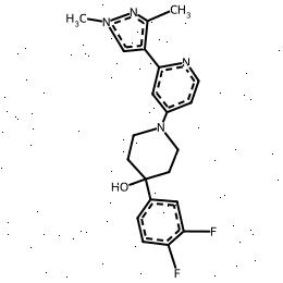 Cc1nn(C)cc1-c1cc(N2CCC(O)(c3ccc(F)c(F)c3)CC2)ccn1